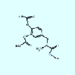 CCCCC(=O)Oc1ccc(C[C@H](N)C(=O)OC(C)C)cc1OC(=O)CCCC